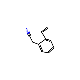 C=Cc1ccccc1CC#N